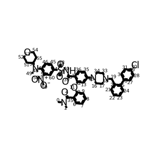 CN(C)C(=O)c1ccccc1Oc1cc(N2CCN(Cc3ccccc3-c3ccc(Cl)cc3)CC2)ccc1C(=O)NS(=O)(=O)c1ccc(N(C)C2CCOCC2)c([N+](=O)[O-])c1